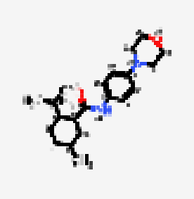 CC1CCC(C(C)C)C(C(=O)Nc2ccc(N3CCOCC3)cc2)C1